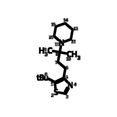 CC(C)(C)c1scnc1CCC(C)(C)N1CCCCC1